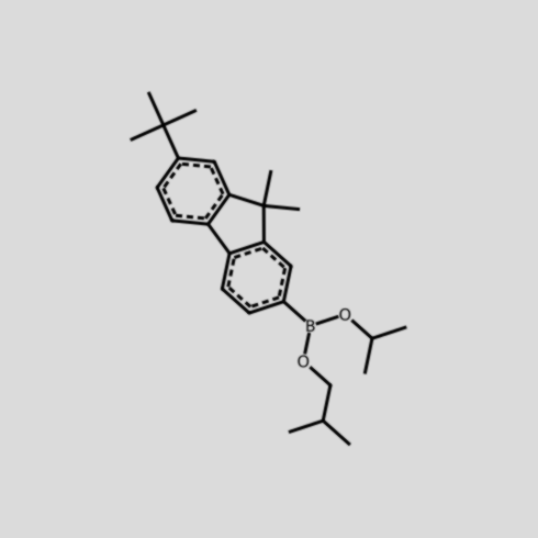 CC(C)COB(OC(C)C)c1ccc2c(c1)C(C)(C)c1cc(C(C)(C)C)ccc1-2